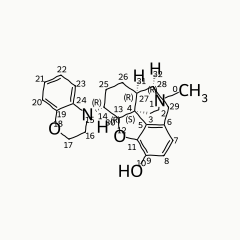 CN1CC[C@]23c4c5ccc(O)c4O[C@H]2[C@H](N2CCOc4ccccc42)CC[C@H]3[C@H]1C5